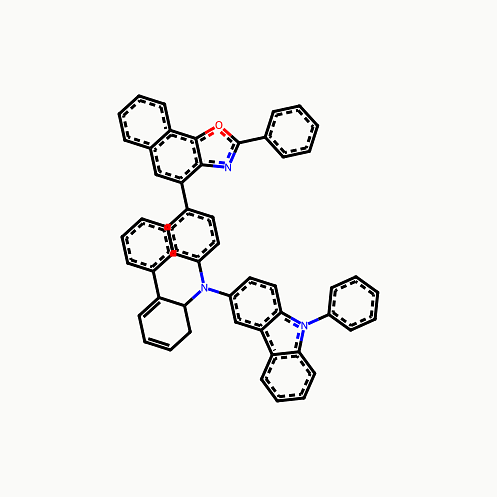 C1=CCC(N(c2ccc(-c3cc4ccccc4c4oc(-c5ccccc5)nc34)cc2)c2ccc3c(c2)c2ccccc2n3-c2ccccc2)C(c2ccccc2)=C1